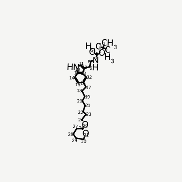 CC(C)(C)OC(=O)NCCc1c[nH]c2ccc(CCCCCCCCOC3CCCCO3)cc12